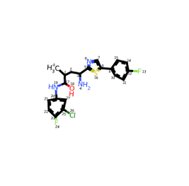 CC(CC(N)c1ncc(-c2ccc(F)cc2)s1)C(O)Nc1ccc(F)c(Cl)c1